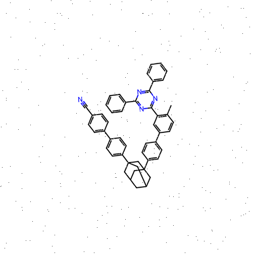 Cc1ccc(-c2ccc(C34CC5CC(CC(c6ccc(-c7ccc(C#N)cc7)cc6)(C5)C3)C4)cc2)cc1-c1nc(-c2ccccc2)nc(-c2ccccc2)n1